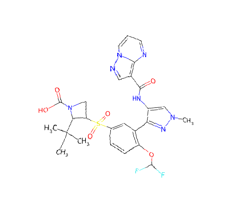 Cn1cc(NC(=O)c2cnn3cccnc23)c(-c2cc(S(=O)(=O)C3CN(C(=O)O)C3C(C)(C)C)ccc2OC(F)F)n1